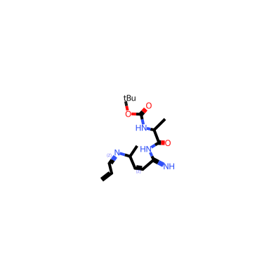 C=C/C=N\C(C)/C=C\C(=N)NC(=O)C(C)NC(=O)OC(C)(C)C